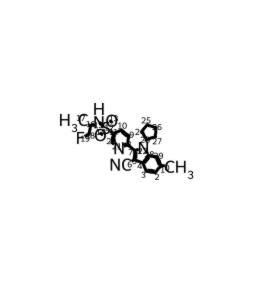 Cc1ccc2c(C#N)c(-c3ccc(S(=O)(=O)N[C@H](C)CF)cn3)n(C3CCCC3)c2c1